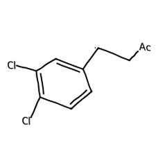 CC(=O)C[CH]c1ccc(Cl)c(Cl)c1